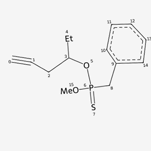 C#CCC(CC)OP(=S)(Cc1ccccc1)OC